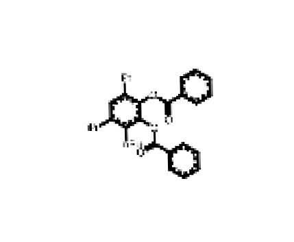 CCCCc1c(C(C)C)cc(CC)c(OC(=O)c2ccccc2)c1OC(=O)c1ccccc1